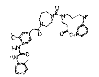 COc1cc(CC(=O)N2CCCN(C(=O)N(CCCN(C)c3ccccc3)CCC(=O)O)CC2)ccc1NC(=O)Nc1ccccc1C